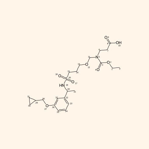 CCOC(=O)N(CCC(=O)O)COCCCS(=O)(=O)NC(C)c1cccc(OCC2CC2)c1